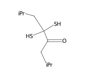 CC(C)CC(=O)C(S)(S)CC(C)C